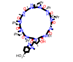 C=C1N[C@@H](C)C(=O)N[C@H](C)C(=O)N(C)[C@@H](CC(C)C)C(=O)N(C)[C@@H](CC(C)C)C(=O)N(C)[C@@H](C(C)C)C(=O)N(C)[C@@H]([C@H](O)[C@H](C)Cc2nc3ccc(C(=O)O)cc3n2C)C(=O)N[C@@H](CC)C(=O)N(C)CC(=O)N(C)[C@@H](CC(C)C)C(=O)N[C@@H](C(C)C)C(=O)N(C)[C@H]1CC(C)C